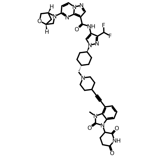 Cn1c(=O)n(C2CCC(=O)NC2=O)c2cccc(C#CC3CCN(C[C@H]4CC[C@H](n5cc(NC(=O)c6cnn7ccc(N8C[C@H]9C[C@@H]8CO9)nc67)c(C(F)F)n5)CC4)CC3)c21